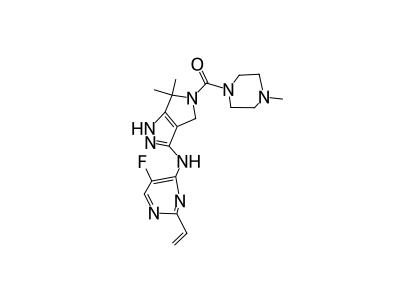 C=Cc1ncc(F)c(Nc2n[nH]c3c2CN(C(=O)N2CCN(C)CC2)C3(C)C)n1